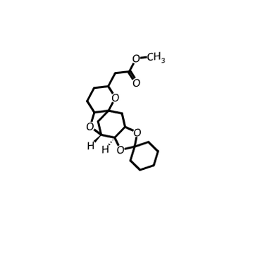 COC(=O)CC1CCC2O[C@@H]3CC2(CC2OC4(CCCCC4)O[C@H]23)O1